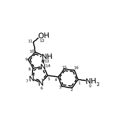 Nc1ccc(-c2nnc3cc(CO)[nH]n23)cc1